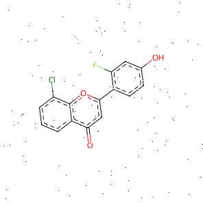 O=c1cc(-c2ccc(O)cc2F)oc2c(Cl)cccc12